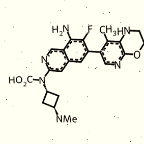 CN[C@H]1C[C@@H](N(C(=O)O)c2cc3cc(-c4cnc5c(c4C)NCCO5)c(F)c(N)c3cn2)C1